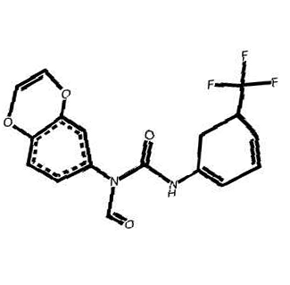 O=CN(C(=O)NC1=CC=CC(C(F)(F)F)C1)c1ccc2c(c1)OC=CO2